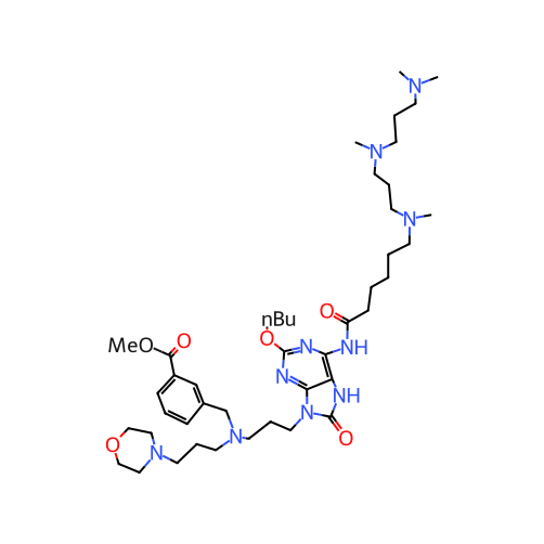 CCCCOc1nc(NC(=O)CCCCCN(C)CCCN(C)CCCN(C)C)c2[nH]c(=O)n(CCCN(CCCN3CCOCC3)Cc3cccc(C(=O)OC)c3)c2n1